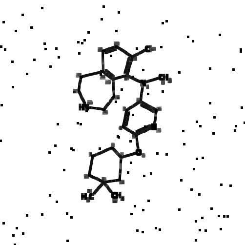 CN(c1ccc(OC2CCCC(C)(C)C2)nc1)c1c(Cl)ccc2c1CCNCC2